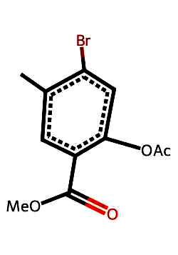 COC(=O)c1cc(C)c(Br)cc1OC(C)=O